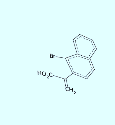 C=C(C(=O)O)c1ccc2ccccc2c1Br